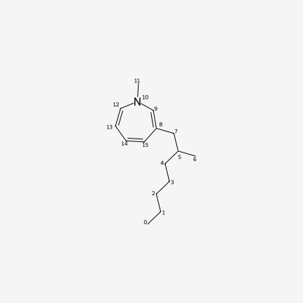 CCCCCC(C)CC1=CN(C)C=CC=C1